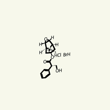 Br.CN1[C@@H]2C[C@@H](OC(=O)[C@H](CO)c3ccccc3)C[C@H]1[C@@H]1O[C@@H]12.Cl